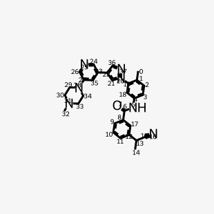 Cc1ccc(NC(=O)c2cccc(C(C)C#N)c2)cc1-n1cc(-c2cncc(N3CCN(C)CC3)c2)cn1